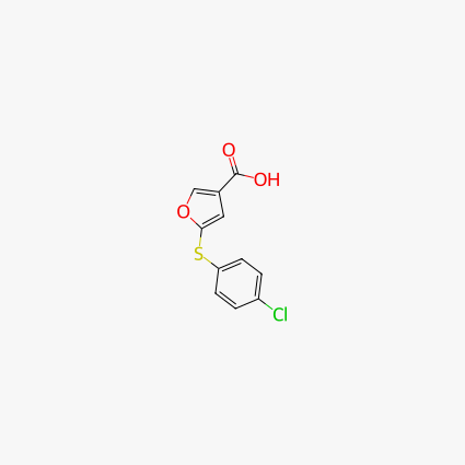 O=C(O)c1coc(Sc2ccc(Cl)cc2)c1